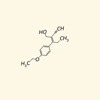 C#CC(CO)=C(CC)c1ccc(OCC)cc1